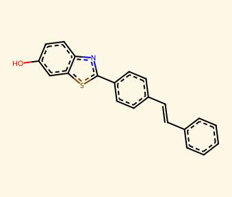 Oc1ccc2nc(-c3ccc(C=Cc4ccccc4)cc3)sc2c1